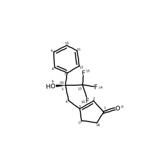 O=C1C=C(C[C@](O)(c2ccccc2)C(F)(F)F)CC1